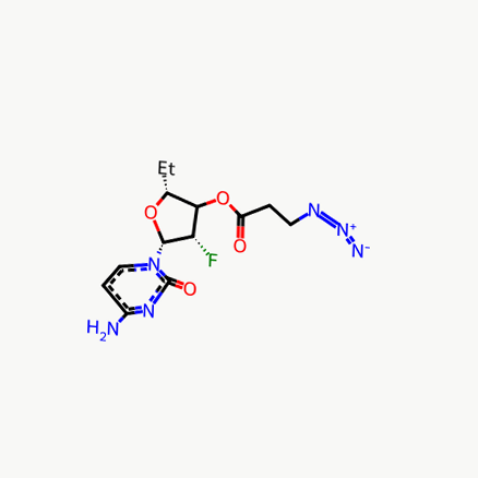 CC[C@H]1O[C@@H](n2ccc(N)nc2=O)[C@@H](F)C1OC(=O)CCN=[N+]=[N-]